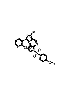 Cc1ccc(S(=O)(=O)n2ccc3c2ncc2c(Br)nc(-c4cccnc4C=O)n23)cc1